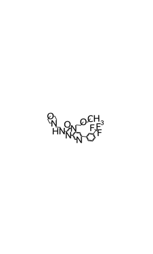 CCOCCn1c(=O)c(NCCN2CCOCC2)nc2cnc(-c3cccc(C(F)(F)F)c3)cc21